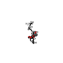 CCC1(O)CC2CN(CCc3c([nH]c4ccccc34)[C@@](C(=O)OC)(c3cc4c(cc3OC)N(C)C3C45CCN4CC=C[C@](CC)(C45)[C@@H](O)[C@]3(O)C(=O)NCCCOC(=O)C(C)NCCC(N)C(=O)O)C2)C1